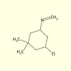 C=NC1CC(Cl)CC(C)(C)C1